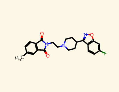 Cc1ccc2c(c1)C(=O)N(CCN1CCC(c3noc4cc(F)ccc34)CC1)C2=O